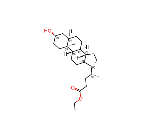 CCOC(=O)CC[C@@H](C)[C@H]1CC[C@H]2[C@@H]3CC[C@@H]4C[C@H](O)CC[C@]4(C)[C@H]3CC[C@]12C